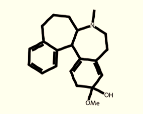 COC1(O)C=C2CCN(C)C3CCCc4ccccc4C3C2=CC1